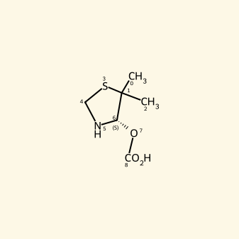 CC1(C)SCN[C@H]1OC(=O)O